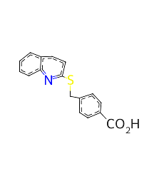 O=C(O)c1ccc(CSc2ccc3ccccc3n2)cc1